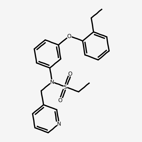 CCc1ccccc1Oc1cccc(N(Cc2cccnc2)S(=O)(=O)CC)c1